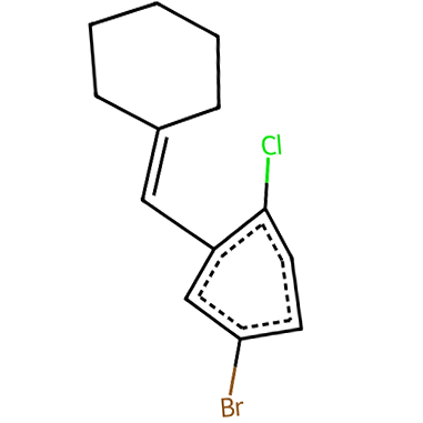 Clc1ccc(Br)cc1C=C1CCCCC1